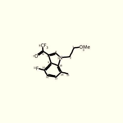 COCCn1cc(C(=O)C(F)(F)F)c2c(F)ccc(C)c21